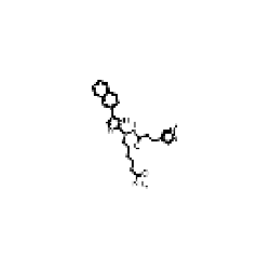 Cn1cc(CCC(=O)N[C@@H](CCCCCC(N)=O)c2ncc(-c3ccc4ccccc4c3)[nH]2)cn1